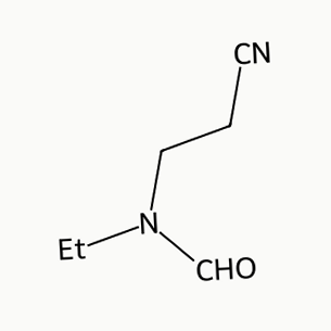 CCN(C=O)CCC#N